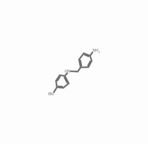 CC(C)(C)c1ccc(NCc2ccc(N)cc2)cc1